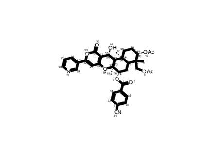 CC(=O)OCC1(C)C2C[C@H](OC(=O)c3ccc(C#N)cc3)[C@@]3(C)Oc4cc(-c5cccnc5)oc(=O)c4[C@H](O)C3[C@@]2(C)CC[C@@H]1OC(C)=O